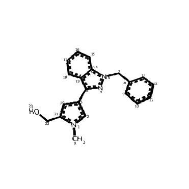 Cn1cc(-c2nn(Cc3ccccc3)c3ccccc23)cc1CO